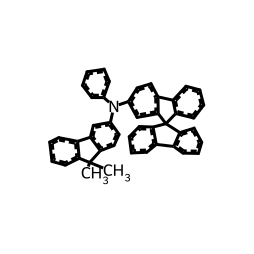 CC1(C)c2ccccc2-c2cc(N(c3ccccc3)c3ccc4c(c3)C3(c5ccccc5-c5ccccc53)c3ccccc3-4)ccc21